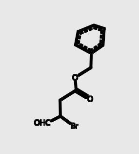 O=CC(Br)CC(=O)OCc1ccccc1